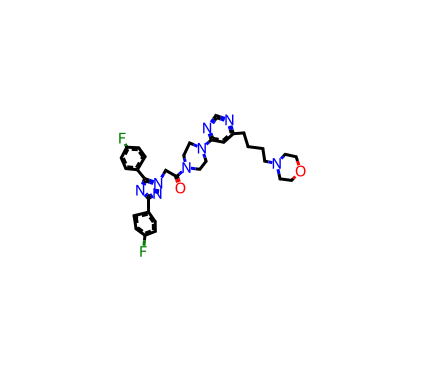 O=C(Cn1nc(-c2ccc(F)cc2)nc1-c1ccc(F)cc1)N1CCN(c2cc(CCCCN3CCOCC3)ncn2)CC1